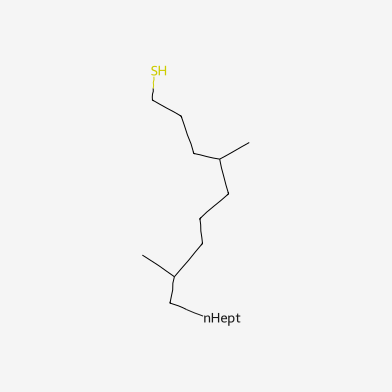 CCCCCCCCC(C)CCCC(C)CCCS